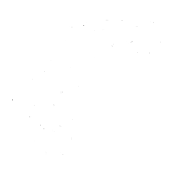 Cc1c(COc2cc(F)c(CN3CCCC[C@H]3C(=O)O)cc2F)cccc1-c1ccc2c(c1)OCCO2